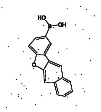 OB(O)c1ccc2oc3cc4ccccc4cc3c2c1